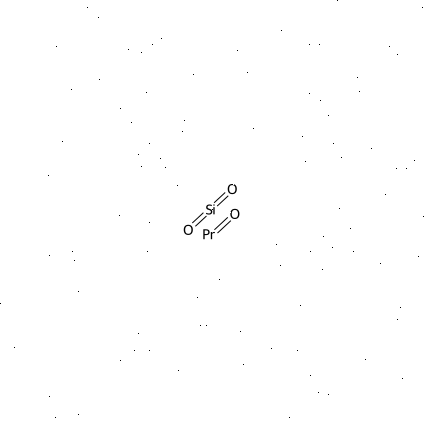 O=[Si]=O.[O]=[Pr]